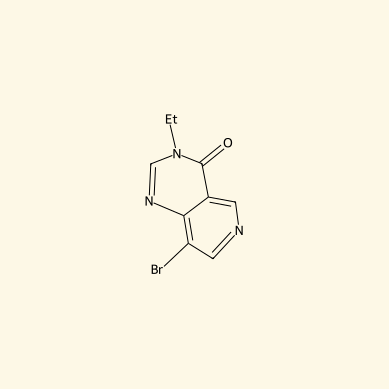 CCn1cnc2c(Br)cncc2c1=O